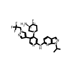 CC(C)n1ncc2ccc(Nc3cc(N4CC[C@H](F)[C@H](N)C4)c(-c4cnn(CC(F)(F)F)c4)cn3)nc21